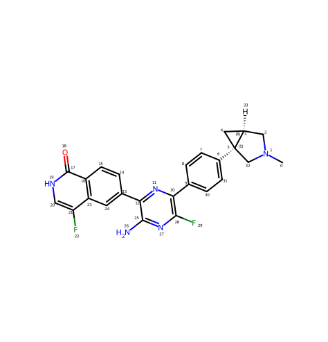 CN1C[C@@H]2C[C@]2(c2ccc(-c3nc(-c4ccc5c(=O)[nH]cc(F)c5c4)c(N)nc3F)cc2)C1